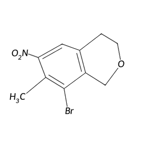 Cc1c([N+](=O)[O-])cc2c(c1Br)COCC2